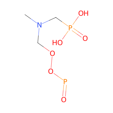 CN(COOP=O)CP(=O)(O)O